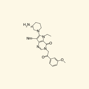 CCn1c(N2CCC[C@@H](N)C2)c(C#N)c2ncn(CC(=O)c3cccc(OC)c3)c(=O)c21